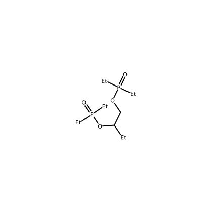 CCC(COP(=O)(CC)CC)OP(=O)(CC)CC